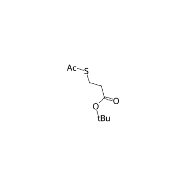 CC(=O)SCCC(=O)OC(C)(C)C